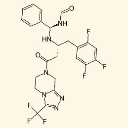 O=CN[C@@H](N[C@@H](CC(=O)N1CCn2c(nnc2C(F)(F)F)C1)Cc1cc(F)c(F)cc1F)c1ccccc1